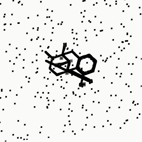 CN1CC[C@]23CC(=O)CC[C@@]2(O)[C@H]1Cc1cccc(O)c13